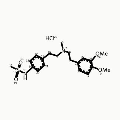 COc1ccc(CCN(C)CCc2ccc(NS(C)(=O)=O)cc2)cc1OC.Cl